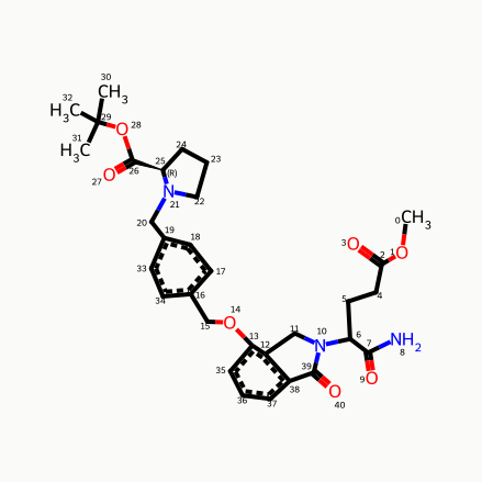 COC(=O)CCC(C(N)=O)N1Cc2c(OCc3ccc(CN4CCC[C@@H]4C(=O)OC(C)(C)C)cc3)cccc2C1=O